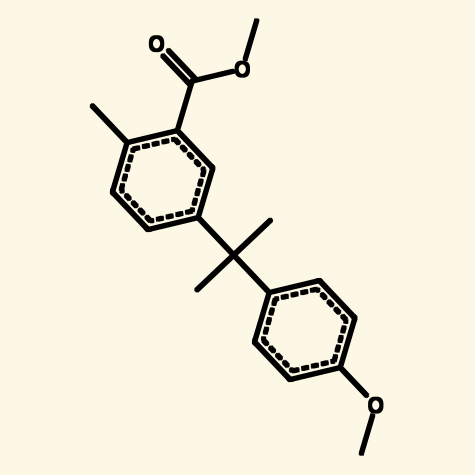 COC(=O)c1cc(C(C)(C)c2ccc(OC)cc2)ccc1C